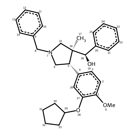 COc1ccc([C@@H]2CN(Cc3ccccc3)C[C@@]2(C)[C@H](O)c2ccccc2)cc1OC1CCCC1